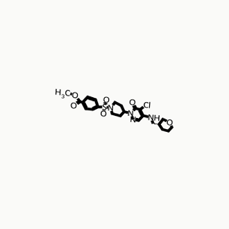 COC(=O)c1ccc(S(=O)(=O)N2CCC(n3ncc(NC[C@H]4CCCOC4)c(Cl)c3=O)CC2)cc1